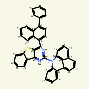 c1ccc(-c2ccc(-c3nc(N4c5ccccc5-c5cccc6cccc4c56)nc4c3sc3ccccc34)c3ccccc23)cc1